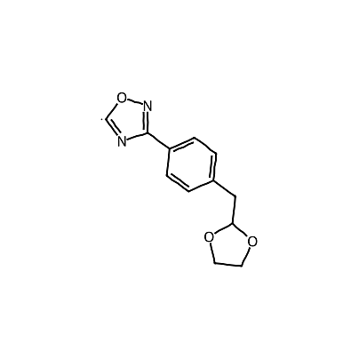 [c]1nc(-c2ccc(CC3OCCO3)cc2)no1